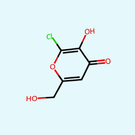 O=c1cc(CO)oc(Cl)c1O